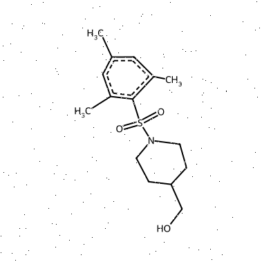 Cc1cc(C)c(S(=O)(=O)N2CCC(CO)CC2)c(C)c1